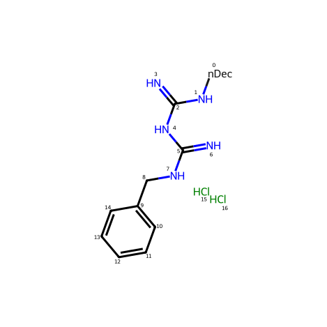 CCCCCCCCCCNC(=N)NC(=N)NCc1ccccc1.Cl.Cl